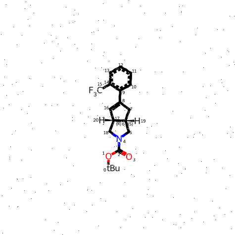 CC(C)(C)OC(=O)N1C[C@H]2CC(c3ccccc3C(F)(F)F)=C[C@H]2C1